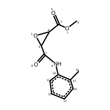 COC(=O)C1OC1C(=O)Nc1ccccc1C